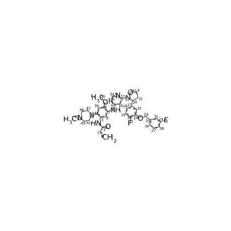 C=CC(=O)Nc1cc(Nc2cc(N3OCCC3c3ccc(F)c(OCc4cccc(F)c4)c3)ncn2)c(OC)cc1N1CCN(C)CC1